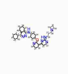 c1ccc(-c2nnc(Nc3ccc(Oc4ncccc4-c4ccnc(NCCCN5CCC5)n4)cc3)c3ccccc23)cc1